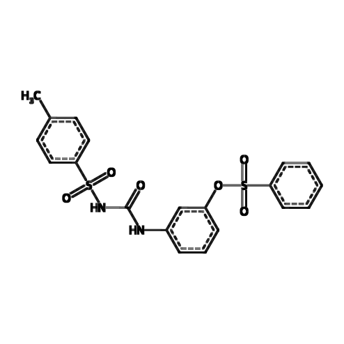 Cc1ccc(S(=O)(=O)NC(=O)Nc2cccc(OS(=O)(=O)c3ccccc3)c2)cc1